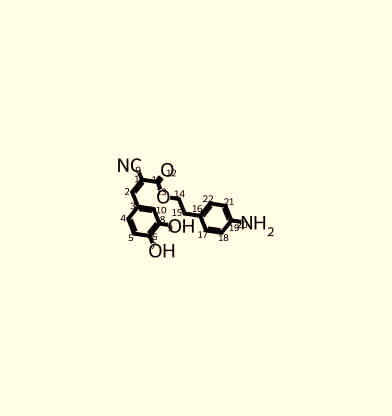 N#CC(=Cc1ccc(O)c(O)c1)C(=O)OCCc1ccc(N)cc1